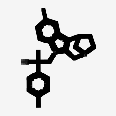 Cc1ccc(C(C)(O)Cn2c3c(c4cc(C)ccc42)C2CCN(C3)C2)cc1